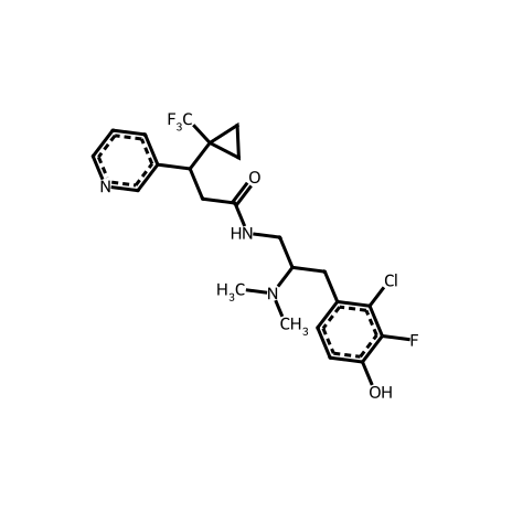 CN(C)C(CNC(=O)CC(c1cccnc1)C1(C(F)(F)F)CC1)Cc1ccc(O)c(F)c1Cl